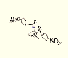 COc1ccc(C(=O)/C=C/c2cccnc2Nc2ccc([N+](=O)[O-])cc2)cc1